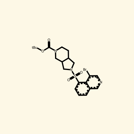 CC(C)(C)OC(=O)N1CCC2CN(S(=O)(=O)c3cccc4cncc(Br)c34)CC2C1